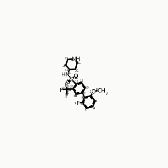 COc1cccc(F)c1-c1ccc(S(=O)(=O)NC2CCNCC2)c(C(F)(F)F)c1